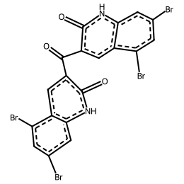 O=C(c1cc2c(Br)cc(Br)cc2[nH]c1=O)c1cc2c(Br)cc(Br)cc2[nH]c1=O